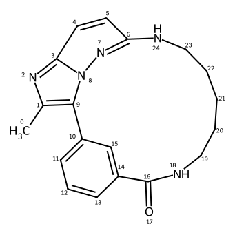 Cc1nc2ccc3nn2c1-c1cccc(c1)C(=O)NCCCCCN3